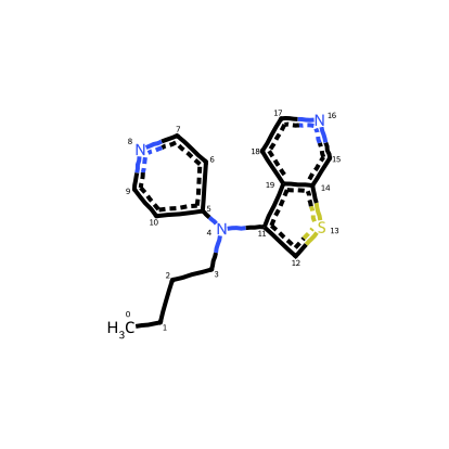 CCCCN(c1ccncc1)c1csc2cnccc12